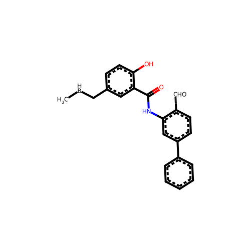 CBCc1ccc(O)c(C(=O)Nc2cc(-c3ccccc3)ccc2C=O)c1